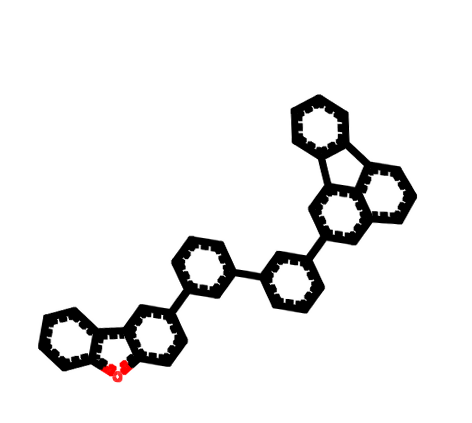 c1cc(-c2cccc(-c3ccc4oc5ccccc5c4c3)c2)cc(-c2cc3c4c(cccc4c2)-c2ccccc2-3)c1